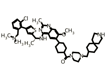 COc1cc2nc(C)nc(N[C@H](C)c3cc(-c4c(Cl)cccc4CN(C)C)cs3)c2cc1C1CCC(C(=O)N2CCN(CC3CCC4(CCNCC4)CC3)CC2)CC1